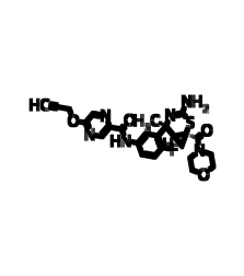 C#CCOc1cnc(C(=O)Nc2ccc(F)c([C@@]3(C)N=C(N)S[C@@]4(C(=O)N5CCOCC5)C[C@H]43)c2)cn1